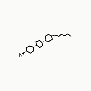 CCCCCC[C@H]1CC[C@H](C2CCC([C@H]3CC[C@@H](C#N)CC3)CC2)CC1